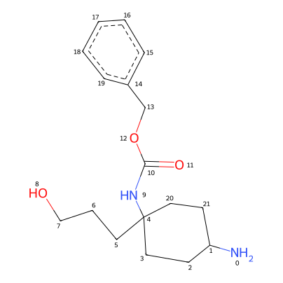 NC1CCC(CCCO)(NC(=O)OCc2ccccc2)CC1